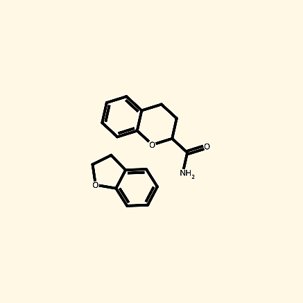 NC(=O)C1CCc2ccccc2O1.c1ccc2c(c1)CCO2